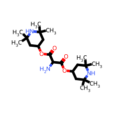 CC1(C)CC(OC(=O)C(N)C(=O)OC2CC(C)(C)NC(C)(C)C2)CC(C)(C)N1